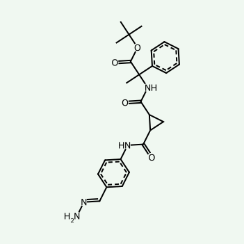 CC(C)(C)OC(=O)C(C)(NC(=O)C1CC1C(=O)Nc1ccc(C=NN)cc1)c1ccccc1